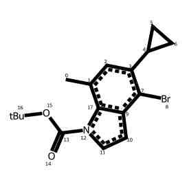 Cc1cc(C2CC2)c(Br)c2ccn(C(=O)OC(C)(C)C)c12